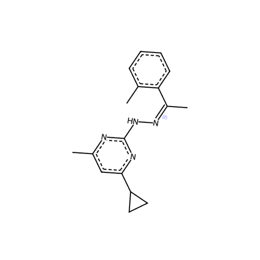 C/C(=N/Nc1nc(C)cc(C2CC2)n1)c1ccccc1C